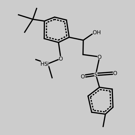 Cc1ccc(S(=O)(=O)OCC(O)c2ccc(C(C)(C)C)cc2O[SiH](C)C)cc1